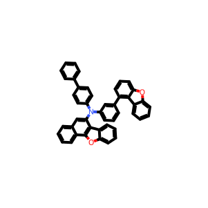 c1ccc(-c2ccc(N(c3cccc(-c4cccc5oc6ccccc6c45)c3)c3cc4ccccc4c4oc5ccccc5c34)cc2)cc1